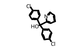 OC(c1ccc(Cl)cc1)(c1ccc(Cl)cc1)c1ccccn1